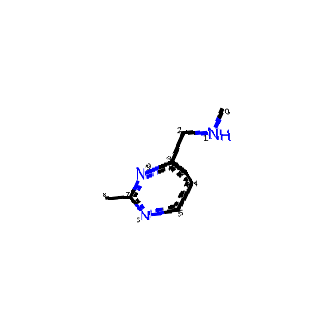 CNCc1ccnc(C)n1